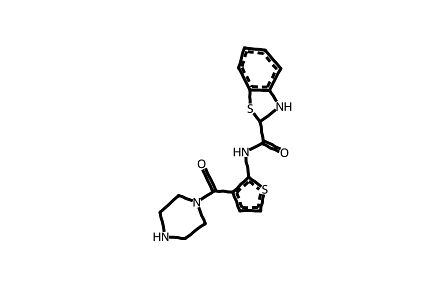 O=C(Nc1sccc1C(=O)N1CCNCC1)C1Nc2ccccc2S1